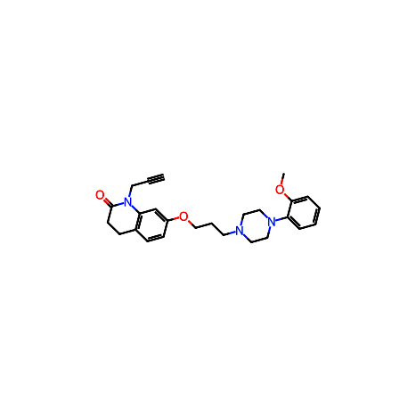 C#CCN1C(=O)CCc2ccc(OCCCN3CCN(c4ccccc4OC)CC3)cc21